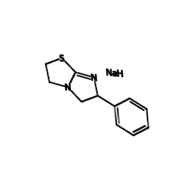 [NaH].c1ccc(C2CN3CCSC3=N2)cc1